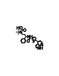 CC(C)(C)N(CCC(NC(=O)c1ccc(-c2ccnc3[nH]ccc23)s1)c1ccccc1)C(=O)O